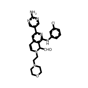 Nc1ncc(-c2cc3c(c(Nc4cccc(Cl)c4)n2)C(C=O)N(CCN2CCOCC2)C=C3)cn1